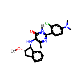 CCO[C@H]1Cc2ccccc2[C@H]1Nc1c(C)nc(-c2ccc(N(C)C)cc2Cl)n(CC)c1=O